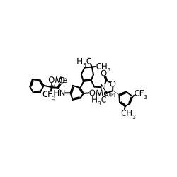 COc1ccc(NC(=O)[C@@](OC)(c2ccccc2)C(F)(F)F)cc1C1=C(CN2C(=O)O[C@H](c3cc(C)cc(C(F)(F)F)c3)[C@@H]2C)CC(C)(C)CC1